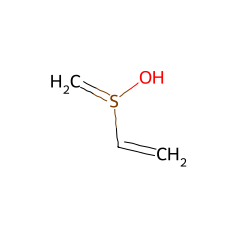 C=CS(=C)O